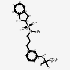 CCCN(CCCc1cccc(OC(C)(C)C(=O)O)c1)S(=O)(=O)C1Cc2ccccc2O1